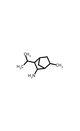 CC(C)C1C2CC(C)C(C2)C1N